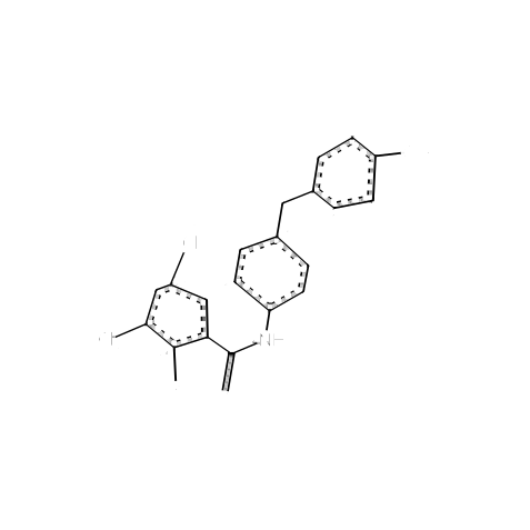 C=C(Nc1ccc(Cc2ccc(Cl)cc2)cc1)c1cc(Cl)cc(Cl)c1C